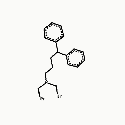 CC(C)CN(CCCC(c1ccccc1)c1ccccc1)CC(C)C